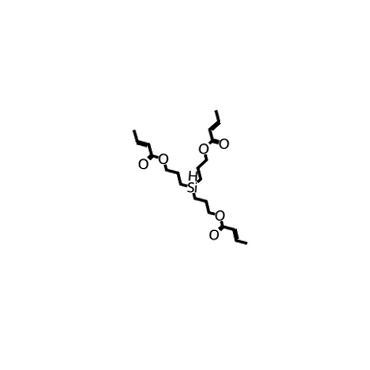 CC=CC(=O)OCCC[SiH](CCCOC(=O)C=CC)CCCOC(=O)C=CC